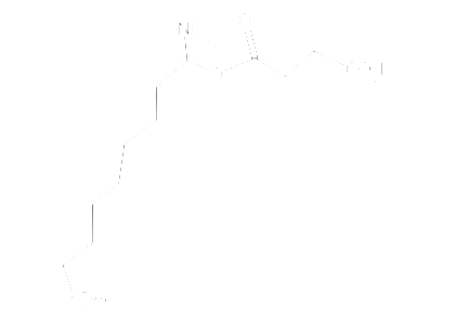 CCCCCCCCCCCCCCCCCC(N)OC(=O)CCC(=O)O